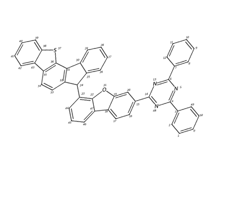 c1ccc(-c2nc(-c3ccccc3)nc(-c3ccc4c(c3)oc3c(C5c6ccccc6-c6c5ccc5c6sc6ccccc65)cccc34)n2)cc1